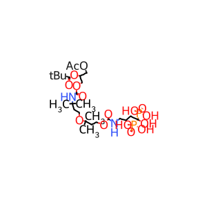 CC(=O)OCC(COC(=O)NC(C)(C)CCOC(C)(C)CCOC(=O)NCCCC(O)(P(=O)(O)O)P(=O)(O)O)OC(=O)C(C)(C)C